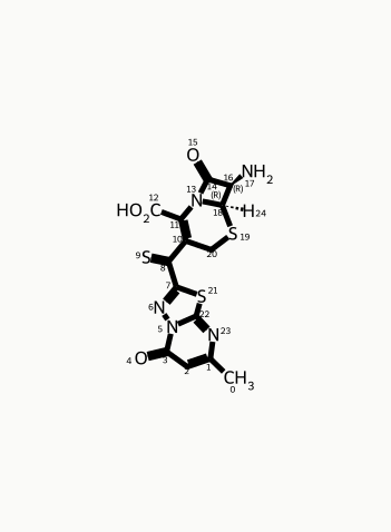 Cc1cc(=O)n2nc(C(=S)C3=C(C(=O)O)N4C(=O)[C@@H](N)[C@H]4SC3)sc2n1